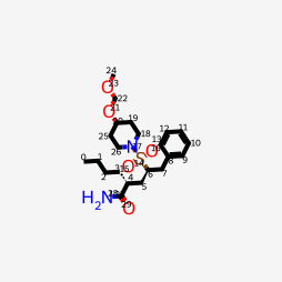 CCCC[C@H](C[C@H](Cc1ccccc1)S(=O)(=O)N1CCC(OCOC)CC1)C(N)=O